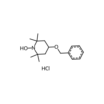 CC1(C)CC(OCc2ccccc2)CC(C)(C)N1O.Cl